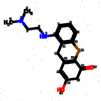 CN(C)CCNc1cccc2c1CC1=C(S2)C(=O)CC(O)=C1